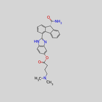 CN(C)CCCC(=O)Oc1ccc2[nH]c(-c3cccc4c3-c3ccccc3[C@H]4C(N)=O)nc2c1